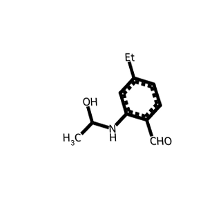 CCc1ccc(C=O)c(NC(C)O)c1